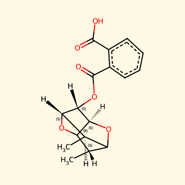 C[C@H]1C2O[C@H]3C1O[C@H]([C@@H]3OC(=O)c1ccccc1C(=O)O)[C@@H]2C